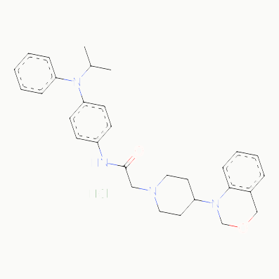 CC(C)N(c1ccccc1)c1ccc(NC(=O)CN2CCC(N3COCc4ccccc43)CC2)cc1.Cl